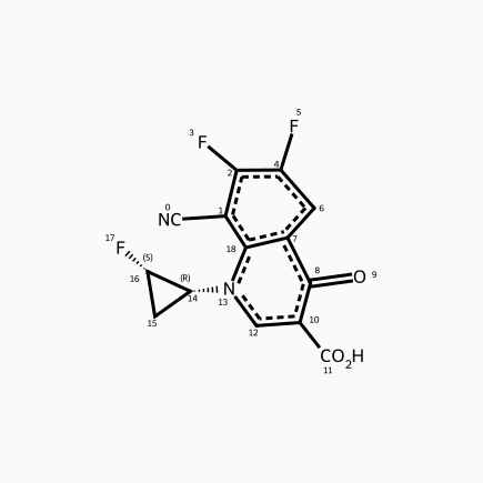 N#Cc1c(F)c(F)cc2c(=O)c(C(=O)O)cn([C@@H]3C[C@@H]3F)c12